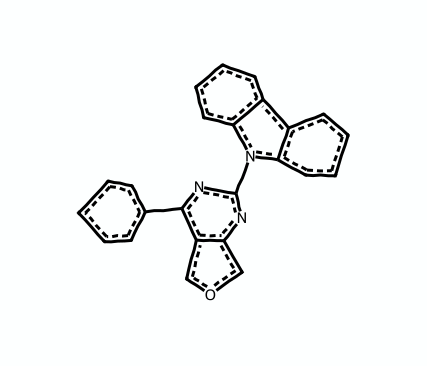 c1ccc(-c2nc(-n3c4ccccc4c4ccccc43)nc3cocc23)cc1